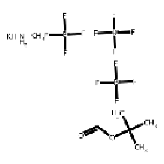 C.CC(C)(C)OC=O.F[B-](F)(F)F.F[B-](F)(F)F.F[B-](F)(F)F.N.[KH]